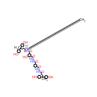 C=C=C=C=C=C=C=C=C=C=C=C=C=C=C=C=C=C=C=C=C=C=C=C=C=C=C=C=C=C=C=C=C=C=C=C(NC(=O)CCC(C)(c1ccc(O)cc1)c1ccc(O)cc1)NC(=O)c1cc(O)cc(C(=O)NCNC(=O)c2cccc(C(=O)NCNC(=O)CCC(C)(c3ccc(O)cc3)c3ccc(O)cc3)c2)c1